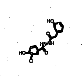 O=C(Cc1cccc(O)c1)NNC(=O)c1ccc(O)c(Cl)c1